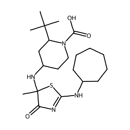 CC1(NC2CCN(C(=O)O)C(C(C)(C)C)C2)SC(NC2CCCCCC2)=NC1=O